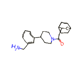 NCc1cccc(C2CCN(C(=O)C3CC4CCC3CC4)CC2)c1